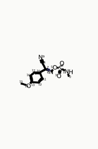 CNS(=O)(=O)O/N=C(\C#N)c1ccc(OC)cc1